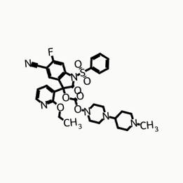 CCOc1ncccc1C1(OC(=O)ON2CCN(C3CCN(C)CC3)CC2)C(=O)N(S(=O)(=O)c2ccccc2)c2cc(F)c(C#N)cc21